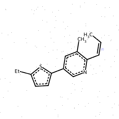 C/C=C\c1ncc(-c2ccc(CC)s2)cc1C